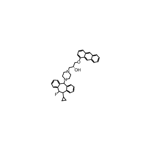 O[C@@H](COc1cccc2cc3ccccc3cc12)CN1CCN(C2c3ccccc3C(F)C(C3CC3)c3ccccc32)CC1